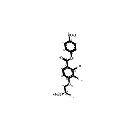 CCCCCCCCc1ccc(OC(=O)c2ccc(OC[C@@H](F)CCCCCC)c(F)c2F)cc1